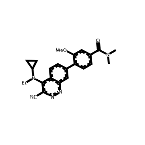 CCN(c1c(C#N)nnc2cc(-c3ccc(C(=O)N(C)C)cc3OC)ccc12)C1CC1